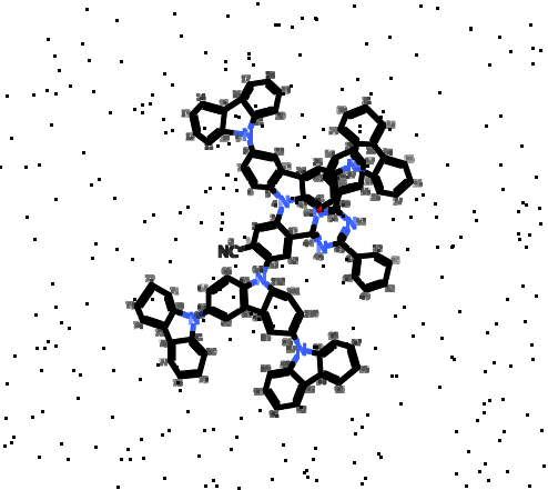 N#Cc1cc(-n2c3ccc(-n4c5ccccc5c5ccccc54)cc3c3cc(-n4c5ccccc5c5ccccc54)ccc32)c(-c2nc(-c3ccccc3)nc(-c3ccccc3)n2)cc1-n1c2ccc(-n3c4ccccc4c4ccccc43)cc2c2cc(-n3c4ccccc4c4ccccc43)ccc21